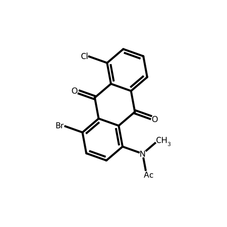 CC(=O)N(C)c1ccc(Br)c2c1C(=O)c1cccc(Cl)c1C2=O